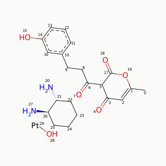 CC1=CC(=O)C(C(=O)CCc2cccc(O)c2)C(=O)O1.N[C@@H]1CCCC[C@H]1N.[OH][Pt]